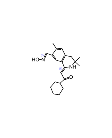 Cc1cc2c(cc1/C=N/O)/C(=C/C(=O)C1CCCCC1)NC(C)(C)C2